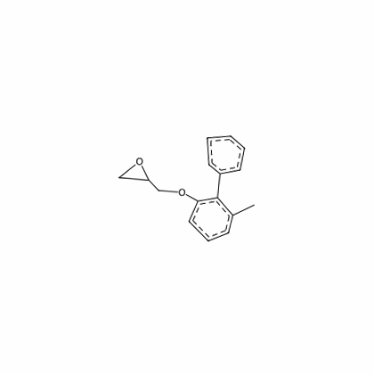 Cc1cccc(OCC2CO2)c1-c1ccccc1